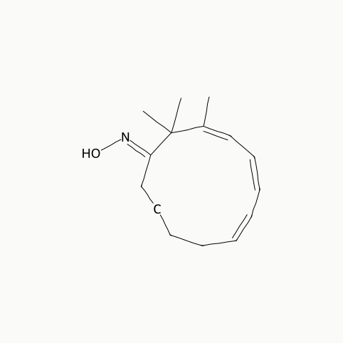 CC1=CC=CC=CCCCCC(=NO)C1(C)C